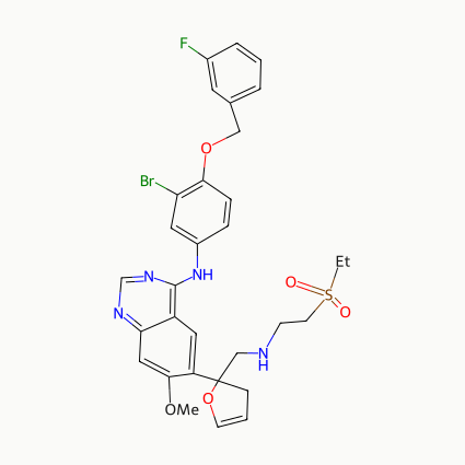 CCS(=O)(=O)CCNCC1(c2cc3c(Nc4ccc(OCc5cccc(F)c5)c(Br)c4)ncnc3cc2OC)CC=CO1